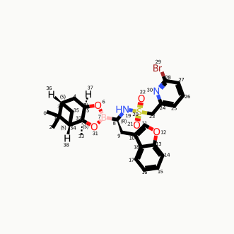 CC1(C)[C@@H]2C[C@H]3OB([C@H](Cc4coc5ccccc45)NS(=O)(=O)Cc4cccc(Br)n4)O[C@@]3(C)[C@H]1C2